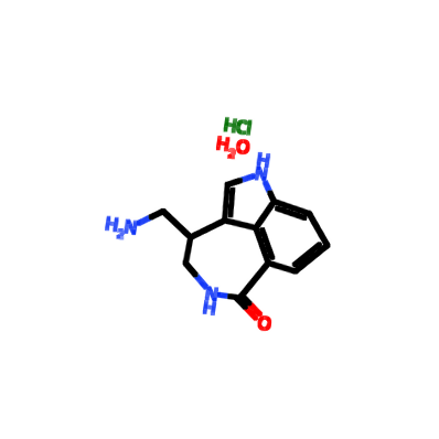 Cl.NCC1CNC(=O)c2cccc3[nH]cc1c23.O